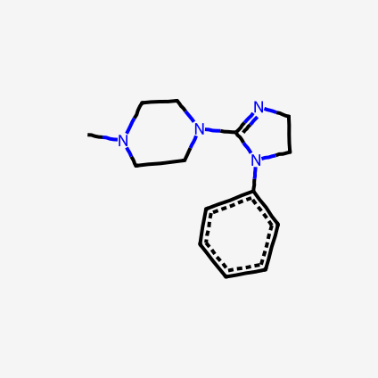 CN1CCN(C2=NCCN2c2ccccc2)CC1